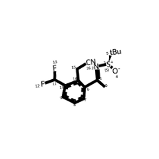 CC(=N[S@+]([O-])C(C)(C)C)c1cccc(C(F)F)c1CC#N